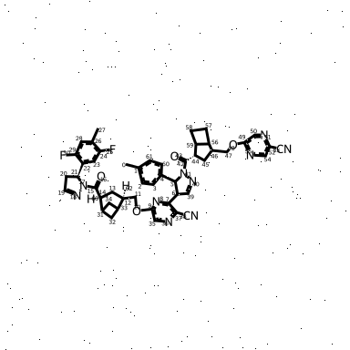 Cc1ccc(C2C(c3nc(OC[C@@H]4C[C@H](C(=O)N5N=CC[C@H]5c5cc(F)c(C)cc5F)C5CC4C5)cnc3C#N)C=NN2C(=O)[C@H]2CC(COc3cnc(C#N)cn3)C3CCC32)cc1